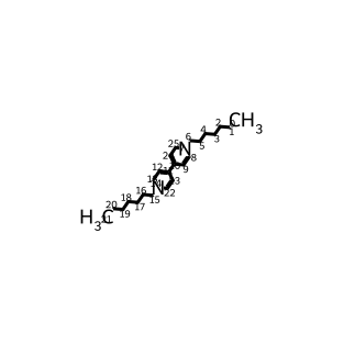 CCCCCCCN1C=CC(C2=CCN(CCCCCCC)C=C2)=CC1